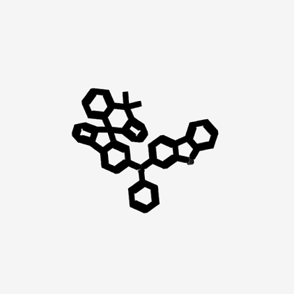 CC1(C)c2ccccc2C2(c3ccccc3-c3ccc(N(c4ccccc4)c4ccc5c(c4)oc4ccccc45)cc32)c2ccccc21